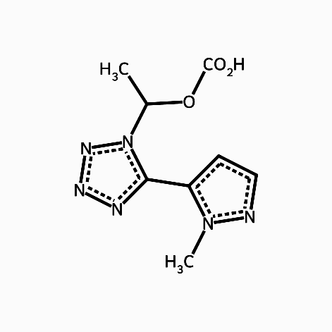 CC(OC(=O)O)n1nnnc1-c1ccnn1C